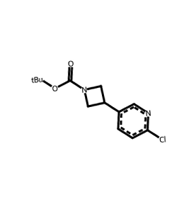 CC(C)(C)OC(=O)N1CC(c2ccc(Cl)nc2)C1